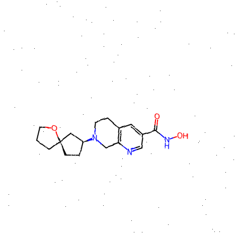 O=C(NO)c1cnc2c(c1)CCN([C@H]1CC[C@]3(CCCO3)C1)C2